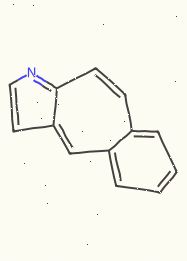 c1ccc2cc3ccnc-3ccc2c1